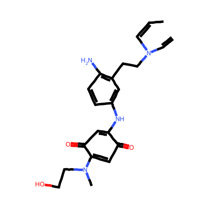 C=CN(/C=C\C)CCc1cc(NC2=CC(=O)C(N(C)CCO)=CC2=O)ccc1N